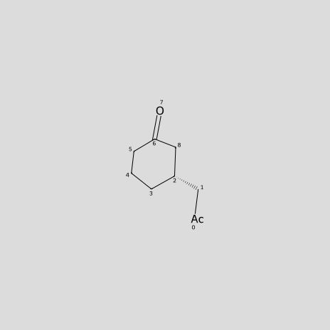 CC(=O)C[C@@H]1CCCC(=O)C1